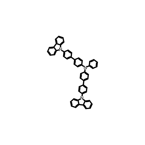 c1ccc(N(c2ccc(-c3ccc(-n4c5ccccc5c5ccccc54)cc3)cc2)c2ccc(-c3ccc(-n4c5ccccc5c5ccccc54)cc3)cc2)cc1